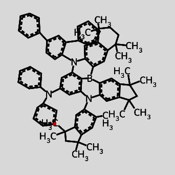 Cc1cc2c(cc1N1c3cc4c(cc3B3c5cc6c(cc5N(c5ccc(-c7ccccc7)cc5-c5ccccc5)c5cc(N(c7ccccc7)c7ccccc7)cc1c53)C(C)(C)CCC6(C)C)C(C)(C)CC4(C)C)C(C)(C)CC2(C)C